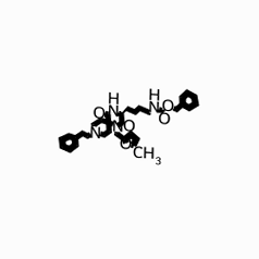 Cc1ccc(CN2C(=O)[C@H](CCCCNC(=O)OCc3ccccc3)NC(=O)C23CCN(CCc2ccccc2)CC3)o1